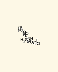 C=C(CCN1C[C@H](COC(F)(F)F)OC1=O)NC(=O)COc1ccc(Cl)c(F)c1